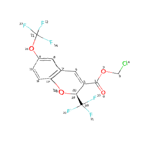 O=C(OCCl)C1=Cc2cc(OC(F)(F)F)ccc2O[C@@H]1C(F)(F)F